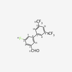 O=Cc1cc(F)cc(-c2cc(C(F)(F)F)cc(C(F)(F)F)c2)c1